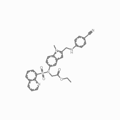 CCOC(=O)CN(c1ccc2c(c1)cc(CNc1ccc(C#N)cc1)n2C)S(=O)(=O)c1cccc2cccnc12